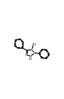 CCN1C(c2ccccc2)=NNN1c1ccccc1